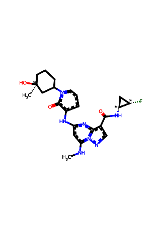 CNc1cc(Nc2cccn(C3CCC[C@](C)(O)C3)c2=O)nc2c(C(=O)N[C@@H]3C[C@@H]3F)cnn12